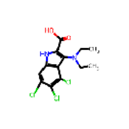 CCN(CC)c1c(C(=O)O)[nH]c2cc(Cl)c(Cl)c(Cl)c12